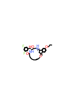 CCCOc1ccc2c(c1)[C@@H]1C[C@H]2OC/C=C\CCCCC(=O)N[C@@H](Cc2cc(F)cc(F)c2)[C@H](O)CN1